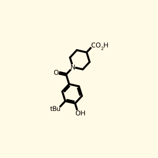 CC(C)(C)c1cc(C(=O)N2CCC(C(=O)O)CC2)ccc1O